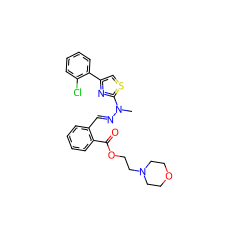 CN(N=Cc1ccccc1C(=O)OCCN1CCOCC1)c1nc(-c2ccccc2Cl)cs1